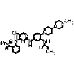 C=CC(=O)Nc1cc(Nc2ncc(Cl)c(Nc3ccccc3S(=O)(=O)C(C)C)n2)ccc1N1CCC(N2CCN(C)CC2)CC1